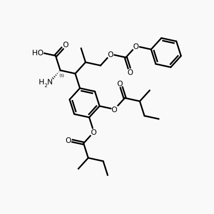 CCC(C)C(=O)Oc1ccc(C(C(C)COC(=O)Oc2ccccc2)[C@H](N)C(=O)O)cc1OC(=O)C(C)CC